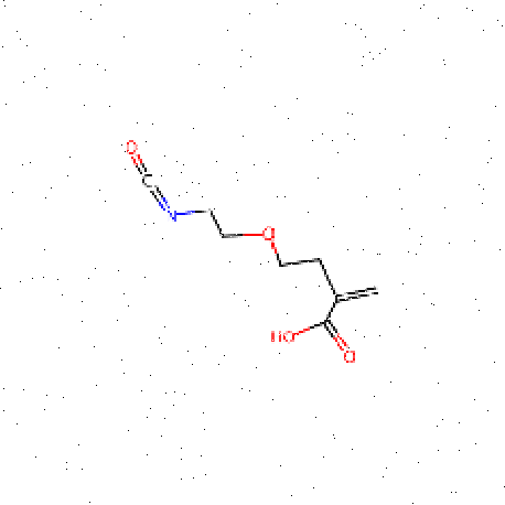 C=C(CCOCCN=C=O)C(=O)O